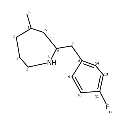 CC1CCCNC(Cc2ccc(F)cc2)C1